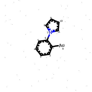 [Au][c]1ccccc1-n1cccc1